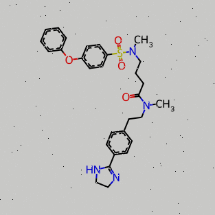 CN(CCc1ccc(C2=NCCN2)cc1)C(=O)CCCN(C)S(=O)(=O)c1ccc(Oc2ccccc2)cc1